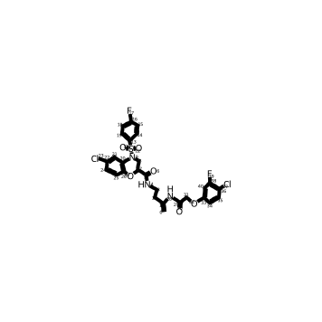 C=C(CCNC(=O)C1CN(S(=O)(=O)c2ccc(F)cc2)c2cc(Cl)ccc2O1)NC(=O)COc1ccc(Cl)c(F)c1